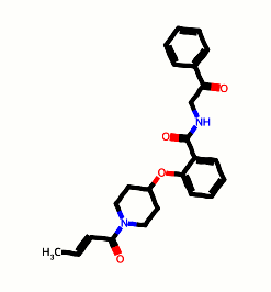 CC=CC(=O)N1CCC(Oc2ccccc2C(=O)NCC(=O)c2ccccc2)CC1